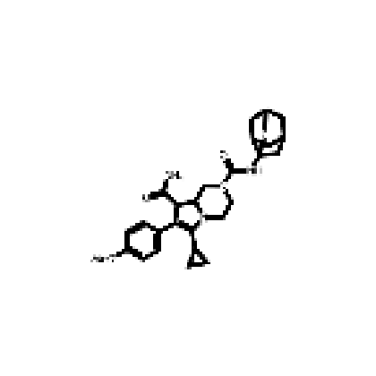 COc1ccc(C2=C(C3CC3)N3CCN(C(=O)NC45CC6CC(CC4C6)C5)CC3C2C(N)=O)cc1